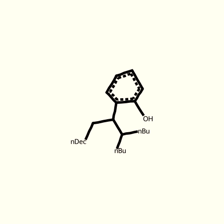 CCCCCCCCCCCC(c1ccccc1O)C(CCCC)CCCC